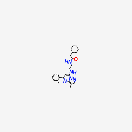 Cc1ccccc1-c1cc(NCCNC(=O)CC2CCCCC2)n2ncc(C)c2n1